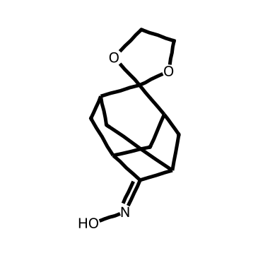 ON=C1C2CC3CC1CC(C2)C31OCCO1